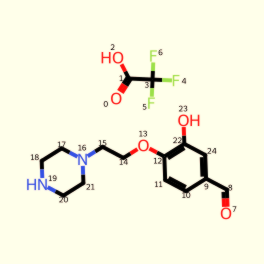 O=C(O)C(F)(F)F.O=Cc1ccc(OCCN2CCNCC2)c(O)c1